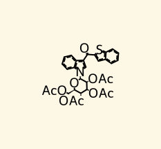 CC(=O)OC[C@H]1O[C@@H](n2cc(C(=O)c3cc4ccccc4s3)c3ccccc32)[C@H](OC(C)=O)[C@@H](OC(C)=O)[C@@H]1OC(C)=O